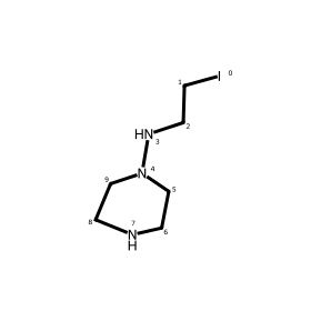 ICCNN1CCNCC1